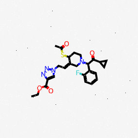 CCOC(=O)c1cn(C/C=C2/CN(C(C(=O)C3CC3)c3ccccc3F)CCC2SC(C)=O)nn1